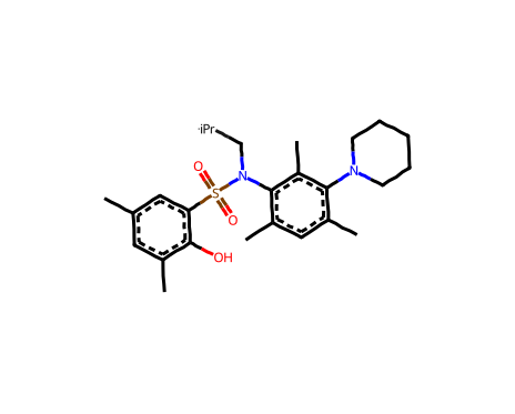 C[C](C)CN(c1c(C)cc(C)c(N2CCCCC2)c1C)S(=O)(=O)c1cc(C)cc(C)c1O